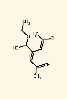 C=C(C)/C=C(\C=C(/C)Cl)C(O)OCC